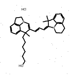 CC1(C)C(=CC=CC2=CN3CCc4cccc(c43)C2(C)CCCCCCO)N2CCCc3cccc1c32.Cl